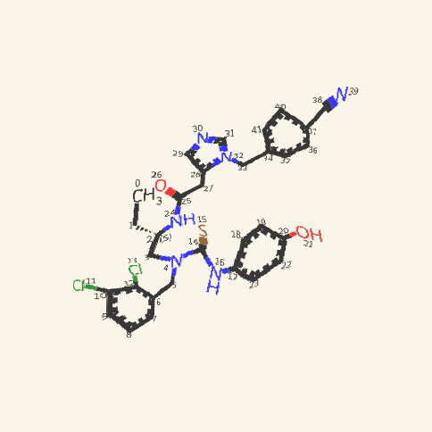 CC[C@@H](CN(Cc1cccc(Cl)c1Cl)C(=S)Nc1ccc(O)cc1)NC(=O)Cc1cncn1Cc1ccc(C#N)cc1